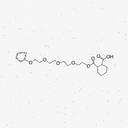 O=C(O)C1CCCCC1C(=O)OCCOCCOCCOCCOc1ccccc1